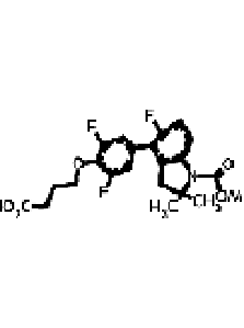 COC(=O)N1c2ccc(F)c(-c3cc(F)c(OCCCC(=O)O)c(F)c3)c2CC1(C)C